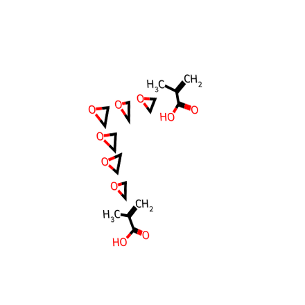 C1CO1.C1CO1.C1CO1.C1CO1.C1CO1.C1CO1.C=C(C)C(=O)O.C=C(C)C(=O)O